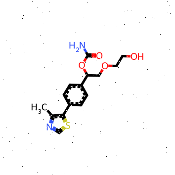 Cc1ncsc1-c1ccc(C(COCCO)OC(N)=O)cc1